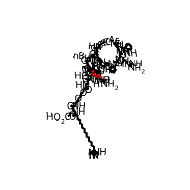 CCCC[C@H](NC(=O)[C@H](CN)NC(=O)[C@H](Cc1c[nH]cn1)NC(=O)[C@H](CCC(N)=O)NC(=O)[C@H](CO)NC(=O)CNC(=O)COCCOCCNC(=O)[C@@H](CCC(=O)O)NC(=O)CCCCCCCCCCCCCCCc1nnn[nH]1)C(=O)N[C@H]1CCC(=O)NCCCC[C@@H](C(C)=O)NC(=O)[C@H](Cc2c[nH]c3ccccc23)NC(=O)[C@H](CCCNC(=N)N)NC(=O)[C@@H](Cc2ccccc2)NC(=O)[C@@H]2C[C@@H](O)CN2C1=O